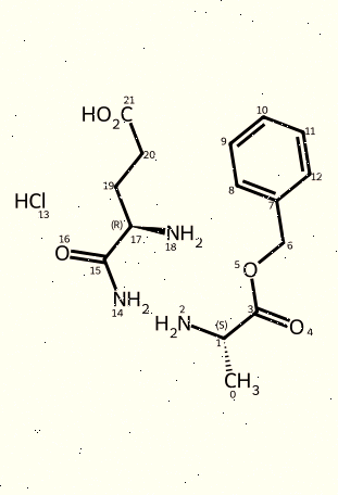 C[C@H](N)C(=O)OCc1ccccc1.Cl.NC(=O)[C@H](N)CCC(=O)O